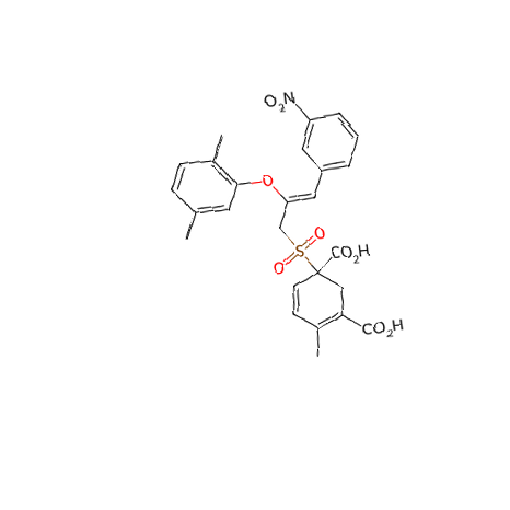 CC1=C(C(=O)O)CC(C(=O)O)(S(=O)(=O)CC(=Cc2cccc([N+](=O)[O-])c2)Oc2cc(C)ccc2C)C=C1